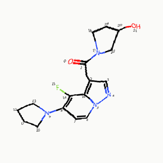 O=C(c1cnn2ccc(N3CCCC3)c(F)c12)N1CCC(O)C1